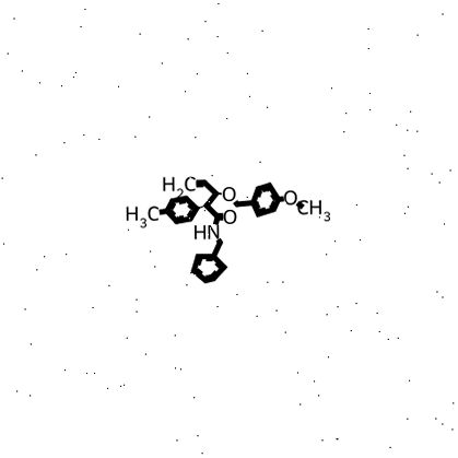 C=C[C@H](OCc1ccc(OC)cc1)[C@H](C(=O)NCc1ccccc1)c1ccc(C)cc1